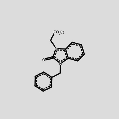 CCOC(=O)Cn1c(=O)n(Cc2ccccc2)c2ccccc21